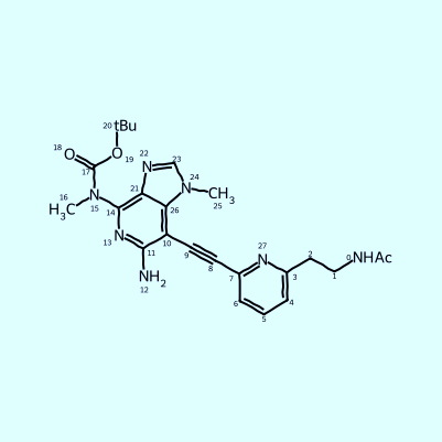 CC(=O)NCCc1cccc(C#Cc2c(N)nc(N(C)C(=O)OC(C)(C)C)c3ncn(C)c23)n1